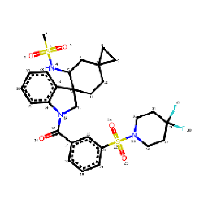 CS(=O)(=O)NC1CC2(CC2)CCC12CN(C(=O)c1cccc(S(=O)(=O)N3CCC(F)(F)CC3)c1)c1ccccc12